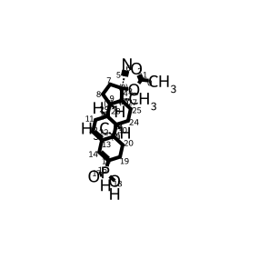 CC(=O)O[C@]1(C#N)CC[C@H]2[C@@H]3CC=C4C=C([PH](=O)O)CC[C@]4(C)[C@H]3CC[C@@]21C